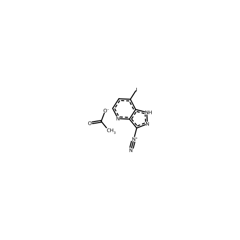 CC(=O)[O-].N#[N+]c1n[nH]c2c(I)ccnc12